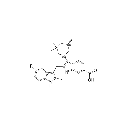 Cc1[nH]c2ccc(F)cc2c1Cc1nc2cc(C(=O)O)ccc2n1[C@@H]1C[C@H](C)CC(C)(C)C1